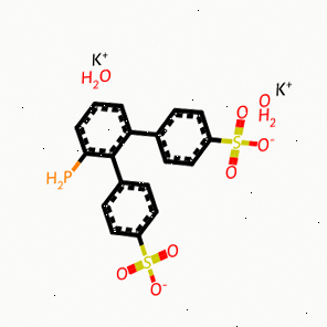 O.O.O=S(=O)([O-])c1ccc(-c2cccc(P)c2-c2ccc(S(=O)(=O)[O-])cc2)cc1.[K+].[K+]